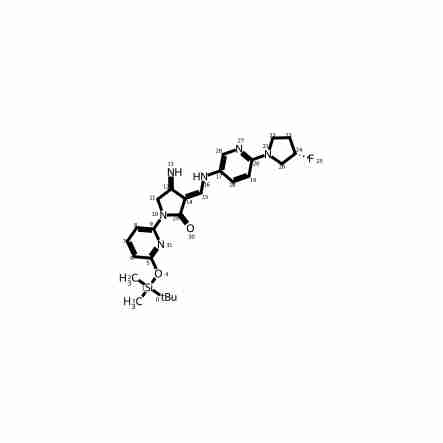 CC(C)(C)[Si](C)(C)Oc1cccc(N2CC(=N)/C(=C\Nc3ccc(N4CC[C@H](F)C4)nc3)C2=O)n1